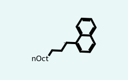 CCCCCCCCCC[CH]c1cccc2ccccc12